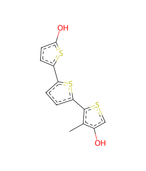 Cc1c(O)csc1-c1ccc(-c2ccc(O)s2)s1